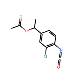 CC(=O)OC(C)c1ccc(N=C=O)c(Cl)c1